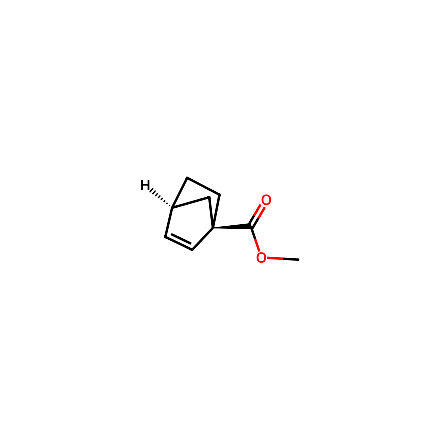 COC(=O)[C@]12C=C[C@@H](CC1)C2